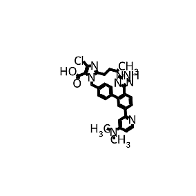 CCCCc1nc(Cl)c(C(=O)O)n1Cc1ccc(-c2cc(-c3cc(N(C)C)ccn3)ccc2-c2nn[nH]n2)cc1